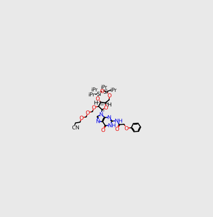 CC(C)[Si]1(C(C)C)OC[C@H]2O[C@@H](n3cnc4c(=O)[nH]c(NC(=O)COc5ccccc5)nc43)C(OCOCOCCC#N)[C@H]2O[Si](C(C)C)(C(C)C)O1